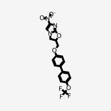 O=[N+]([O-])c1cn2c(n1)OC(COc1ccc(-c3ccc(OC(F)(F)F)cc3)cc1)C2